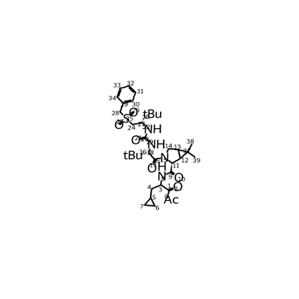 CC(=O)C(=O)C(CC1CC1)NC(=O)[C@@H]1C2C(CN1C(=O)[C@@H](NC(=O)N[C@H](CS(=O)(=O)Cc1ccccc1)C(C)(C)C)C(C)(C)C)C2(C)C